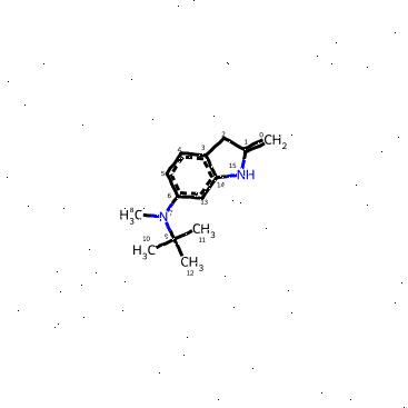 C=C1Cc2ccc(N(C)C(C)(C)C)cc2N1